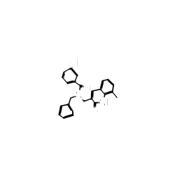 Cc1cccc2cc(CN(Cc3ccccc3)C(=O)c3cccc(Cl)c3)c(=O)[nH]c12